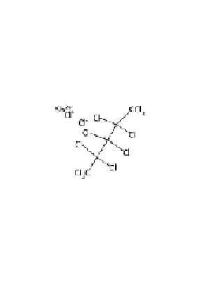 ClC(Cl)(Cl)C(Cl)(Cl)C(Cl)(Cl)C(Cl)(Cl)C(Cl)(Cl)Cl.[Cl-].[Cl-].[Sb+2]